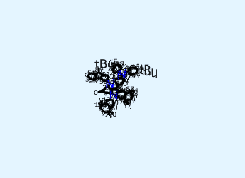 Cc1cc2c3c(c1)N(c1ccc4c(c1)C(C)(C)CCC4(C)C)c1cc4c(cc1B3c1ccc(N(c3ccc(C(C)(C)C)cc3)c3ccc(C(C)(C)C)cc3)cc1N2c1ccc2c(c1)-c1ccccc1C2C)C(C)(C)CCC4(C)C